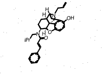 C=CCN1CC[C@@]23c4c5ccc(O)c4C[C@@H]1[C@@H]2CC[C@H](N(CC(C)C)C(=O)C=Cc1ccccc1)[C@@H]3O5